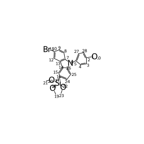 COc1ccc(-n2c3ccc(Br)cc3c3cc([Si](OC)(OC)OC)ccc32)cc1